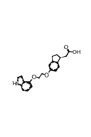 O=C(O)C[C@@H]1CCc2cc(OCCOc3cccc4[nH]ccc34)ccc21